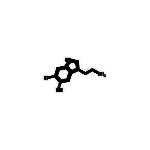 NCCc1c[nH]c2cc(Cl)c(O)cc12